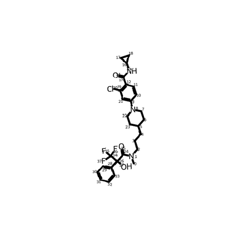 CN(CCCC1CCN(c2ccc(C(=O)NC3CC3)c(Cl)c2)CC1)C(=O)C(O)(c1ccccc1)C(F)(F)F